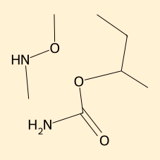 CCC(C)OC(N)=O.CNOC